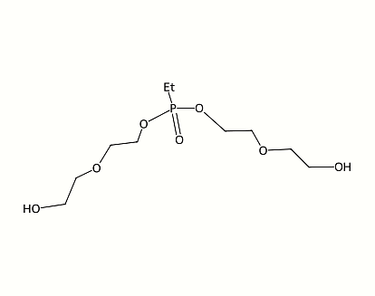 CCP(=O)(OCCOCCO)OCCOCCO